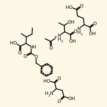 CC(=O)F.CC(O)C(N)C(=O)O.CCC(C)C(NC(=O)OCc1ccccc1)C(=O)O.NC(CC(=O)O)C(=O)O.NC(CCC(=O)O)C(=O)O